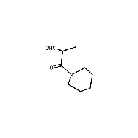 CC(C=O)C(=O)N1CCCCC1